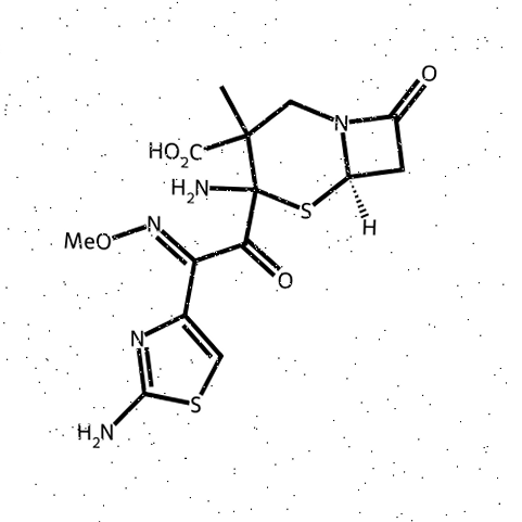 CON=C(C(=O)C1(N)S[C@@H]2CC(=O)N2CC1(C)C(=O)O)c1csc(N)n1